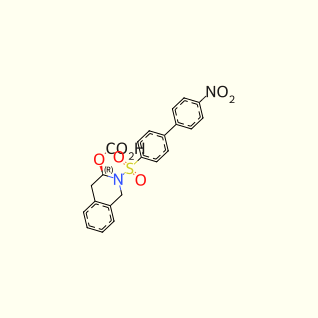 O=C(O)O[C@@H]1Cc2ccccc2CN1S(=O)(=O)c1ccc(-c2ccc([N+](=O)[O-])cc2)cc1